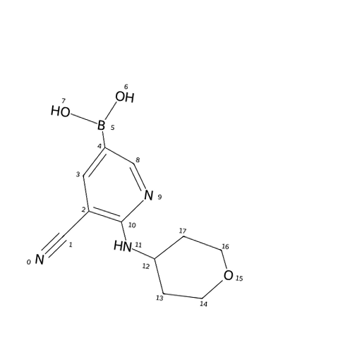 N#Cc1cc(B(O)O)cnc1NC1CCOCC1